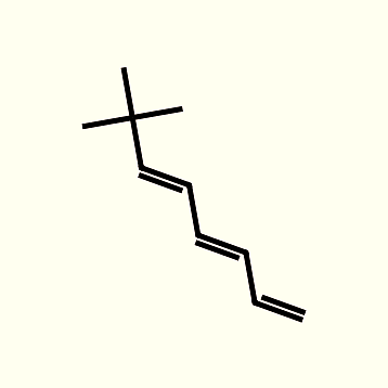 C=CC=CC=CC(C)(C)C